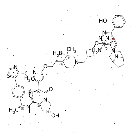 B[C@]1(C)CN(C[C@H]2C[C@H](Oc3cc(N4C5CCC4CN(c4cc(-c6ccccc6O)nnc4N)C5)ccn3)C2)CC[C@H]1CCOc1cc([C@@H](C(=O)N2C[C@H](O)C[C@H]2C(=O)N[C@@H](C)c2ccc(-c3scnc3C)cc2)C(C)C)on1